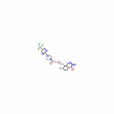 O=C(CCOCCc1c(F)ccc2c(=O)[nH]ncc12)N1CCN(c2ncc(C(F)(F)F)cn2)CC1